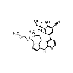 COCCCn1ncc(Nc2nccc(-c3cc(C#N)c4c(c3)[C@@](C)(CO)CN4)n2)c1CCC(C)C